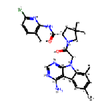 Cc1ccc(Br)nc1NC(=O)[C@@H]1CC(C)(C)CN1C(=O)Cn1c2ncnc(N)c2c2cc(C(F)(F)F)cc(C)c21